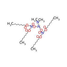 CCCCCCCCCC(=O)OCCN(CCOC(=O)CCCCCCCCC)C(=O)OCCN(CCOC(=O)N(CCOC(=O)CCCCCCCCC)CCOC(=O)CCCCCCCCC)CCN(CC)CC